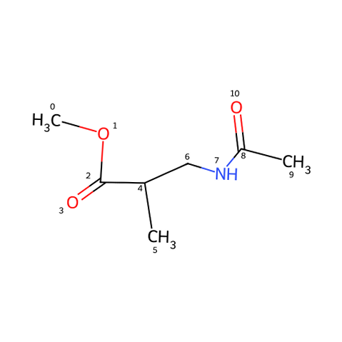 COC(=O)C(C)CNC(C)=O